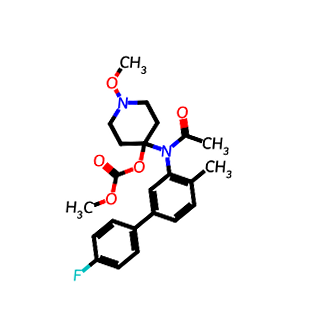 COC(=O)OC1(N(C(C)=O)c2cc(-c3ccc(F)cc3)ccc2C)CCN(OC)CC1